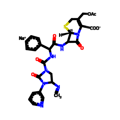 C=NC1CN(C(=O)NC(C(=O)NC2C(=O)N3C(C(=O)[O-])=C(COC(C)=O)CS[C@@H]23)c2ccccc2)C(=O)N1c1cccnc1.[Na+]